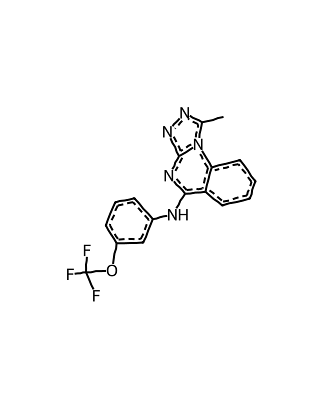 Cc1nnc2nc(Nc3cccc(OC(F)(F)F)c3)c3ccccc3n12